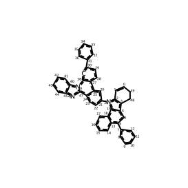 C1=Cc2c(c3cc(-c4ccccc4)c4ccccc4c3n2-c2ccc3c(c2)c2ccc(-c4ccccc4)cc2n2c4ccccc4nc32)CC1